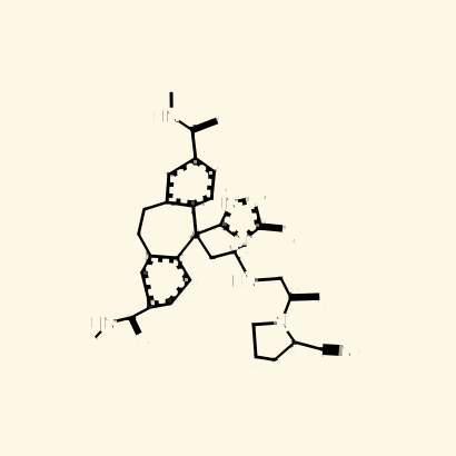 C=C(NC)c1ccc2c(c1)CCc1cc(C(=O)NC)ccc1C2(C[C@@H](C)NCC(=C)N1CCCC1C#N)c1nc(=O)o[nH]1